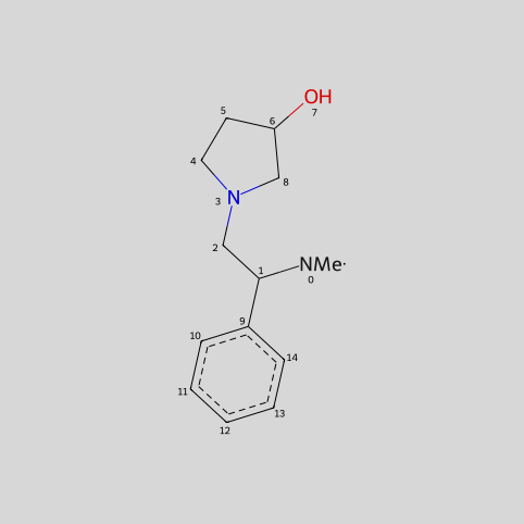 C[N]C(CN1CCC(O)C1)c1ccccc1